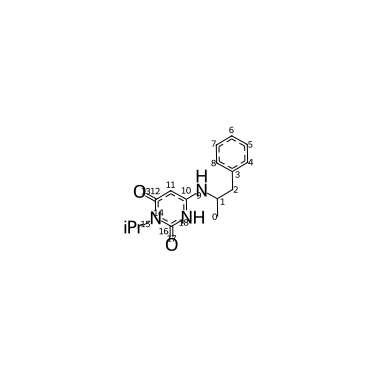 CC(Cc1ccccc1)Nc1cc(=O)n(C(C)C)c(=O)[nH]1